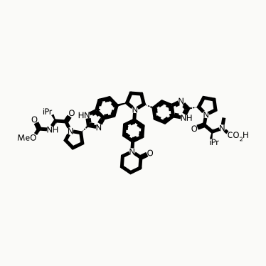 COC(=O)N[C@H](C(=O)N1CCC[C@H]1c1nc2cc([C@H]3CC[C@H](c4ccc5[nH]c([C@@H]6CCCN6C(=O)[C@H](C(C)C)N(C)C(=O)O)nc5c4)N3c3ccc(N4CCCCC4=O)cc3)ccc2[nH]1)C(C)C